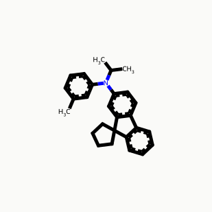 Cc1cccc(N(c2ccc3c(c2)C2(CCCC2)c2ccccc2-3)C(C)C)c1